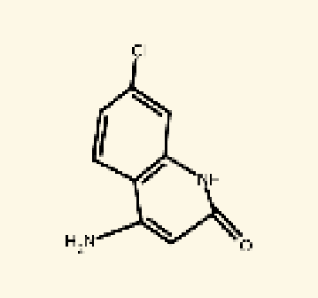 Nc1cc(=O)[nH]c2cc(Cl)ccc12